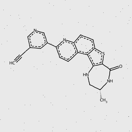 C#Cc1cncc(-c2ccc3c(ccc4sc5c(c43)NC[C@@H](C)NC5=O)n2)c1